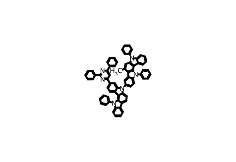 Cc1cc2c(c3ccccc3n2-c2ccccc2)c2c1c1cc(-n3c4cc(-c5cc(-c6ccccc6)nc(-c6ccccc6)n5)ccc4c4c3ccc3c5ccccc5n(-c5ccccc5)c34)ccc1n2-c1ccccc1